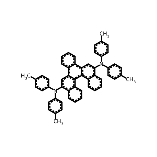 Cc1ccc(N(c2ccc(C)cc2)c2cc3c4ccccc4c4cc(N(c5ccc(C)cc5)c5ccc(C)cc5)c5ccccc5c4c3c3ccccc23)cc1